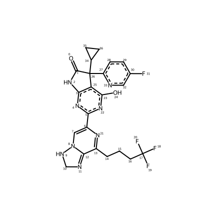 O=C1Nc2nc(C3=CN4NCN=C4C(CCCC(F)(F)F)=N3)nc(O)c2C1(c1ccc(F)cn1)C1CC1